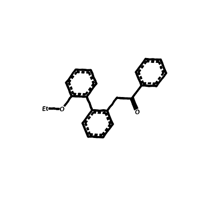 CCOc1ccccc1-c1ccccc1CC(=O)c1ccccc1